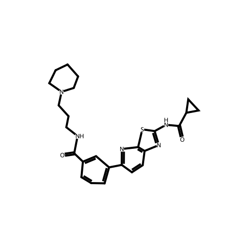 O=C(NCCCN1CCCCC1)c1cccc(-c2ccc3nc(NC(=O)C4CC4)sc3n2)c1